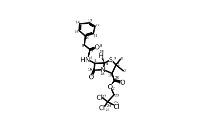 CC1(C)S[C@H]2C(NC(=O)Cc3ccccc3)C(=O)N2C1C(=O)OCC(Cl)(Cl)Cl